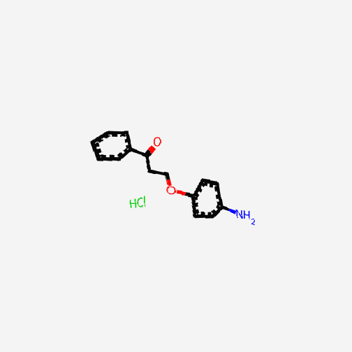 Cl.Nc1ccc(OCCC(=O)c2ccccc2)cc1